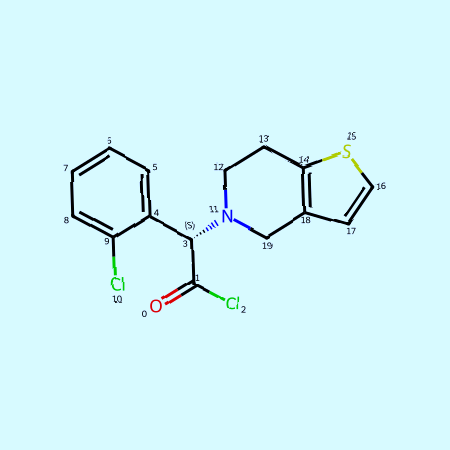 O=C(Cl)[C@H](c1ccccc1Cl)N1CCc2sccc2C1